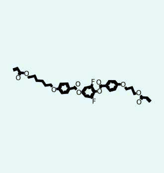 C=CC(=O)OCCCCCCOc1ccc(C(=O)Oc2cc(F)c(OC(=O)c3ccc(OCCCOC(=O)C=C)cc3)c(F)c2)cc1